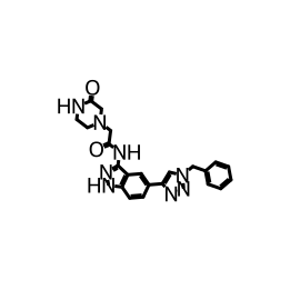 O=C1CN(CC(=O)Nc2n[nH]c3ccc(-c4cn(Cc5ccccc5)nn4)cc23)CCN1